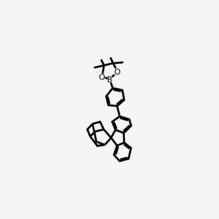 CC1(C)OB(c2ccc(-c3ccc4c(c3)C3(c5ccccc5-4)C4CC5CC(C4)CC3C5)cc2)OC1(C)C